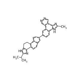 Cc1nc2c3cnncc3c3cc(-c4ccc5c6c(ccc5c4)-c4nc(C(C)C)[nH]c4CC6)ccc3c2[nH]1